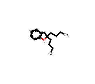 CCCCC1(CCCC)Cc2ccccc2O1